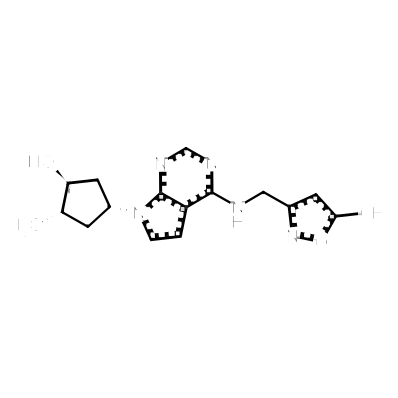 [CH2][C@H]1C[C@@H](n2ccc3c(NCc4cc(C)on4)ncnc32)C[C@@H]1O